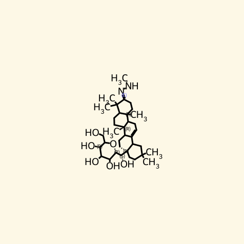 CN/N=C1\CC[C@@]2(C)C(CC[C@@]3(C)C4CC[C@@]5([C@H](O)[C@H]6OC(CO)[C@H](O)C(O)C6O)CCC(C)(C)CC5C4=CCC32)C1(C)C